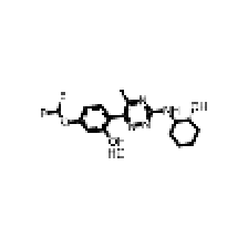 Cc1nc(N[C@@H]2CCCC[C@H]2O)nnc1-c1ccc(OC(F)F)cc1O.Cl